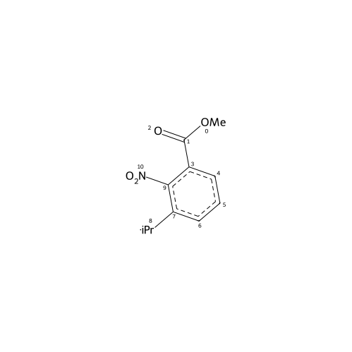 COC(=O)c1cccc([C](C)C)c1[N+](=O)[O-]